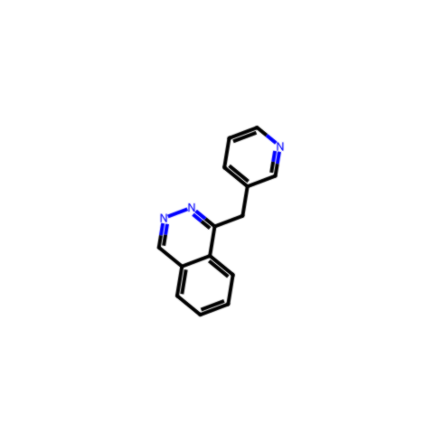 c1cncc(Cc2nncc3ccccc23)c1